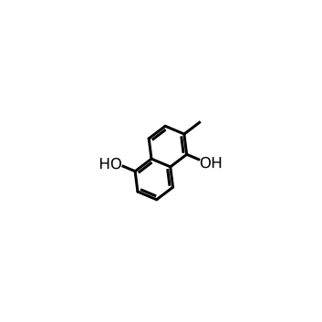 Cc1ccc2c(O)cccc2c1O